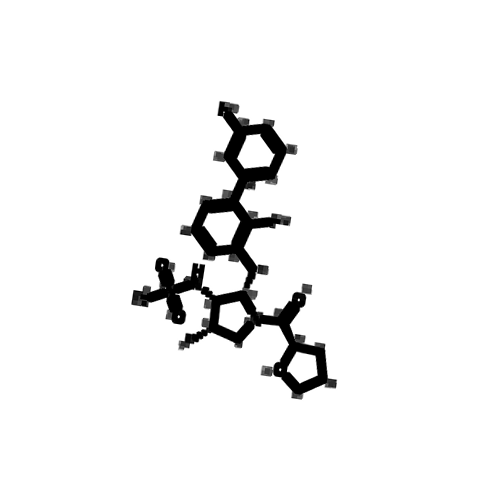 CCS(=O)(=O)N[C@H]1[C@@H](F)CN(C(=O)[C@H]2CCCO2)[C@H]1Cc1cccc(-c2cccc(F)c2)c1F